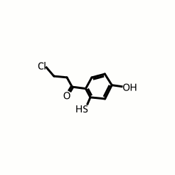 O=C(CCCl)c1ccc(O)cc1S